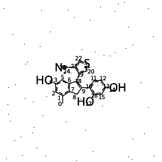 Cc1cc(O)cc2c1CC(c1ccc(O)cc1O)=C2c1cscc1C#N